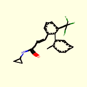 Cc1ccccc1-c1c(C(F)(F)F)[c]ccc1/C=C/C(=O)NC1CC1